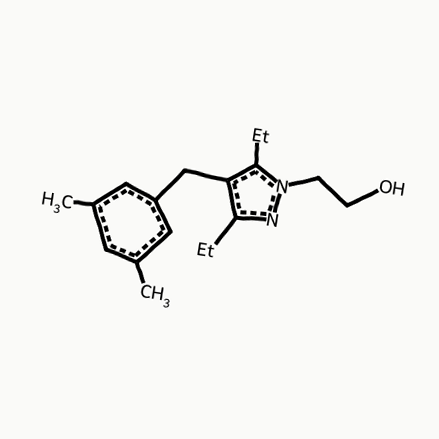 CCc1nn(CCO)c(CC)c1Cc1cc(C)cc(C)c1